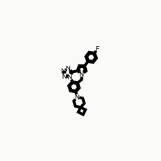 Fc1ccc(-c2cc3n(c2)Cc2cc(N4CCC5(CCC5)CC4)ccc2-n2nnnc2-3)cc1